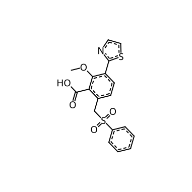 COc1c(-c2nccs2)ccc(CS(=O)(=O)c2ccccc2)c1C(=O)O